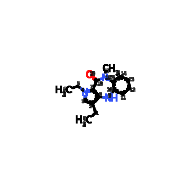 CCc1cn(CC)c2c1Nc1ccccc1N(C)C2=O